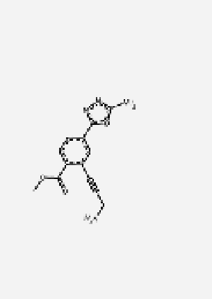 COC(=O)c1ccc(-c2nnc(N)o2)cc1C#CCN